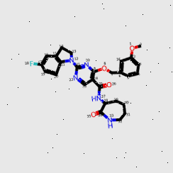 COc1cccc(COc2nc(N3CCc4cc(F)ccc43)ncc2C(=O)NC2CCCCNC2=O)c1